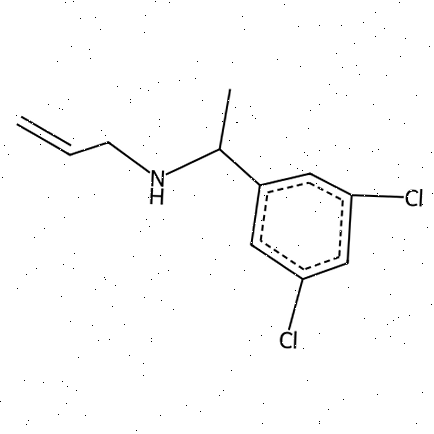 C=CCNC(C)c1cc(Cl)cc(Cl)c1